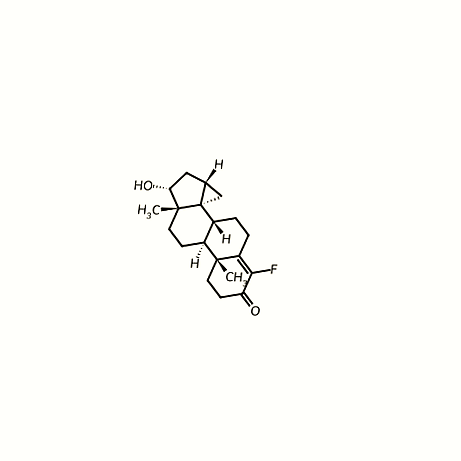 C[C@]12CCC(=O)C(F)=C1CC[C@@H]1[C@@H]2CC[C@]2(C)[C@H](O)C[C@@H]3C[C@]312